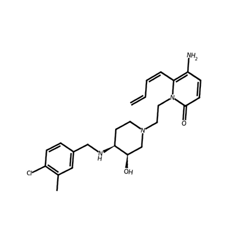 C=C/C=C\c1c(N)ccc(=O)n1CCN1CC[C@H](NCc2ccc(Cl)c(C)c2)[C@H](O)C1